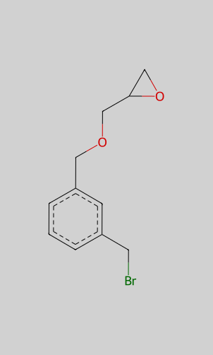 BrCc1cccc(COCC2CO2)c1